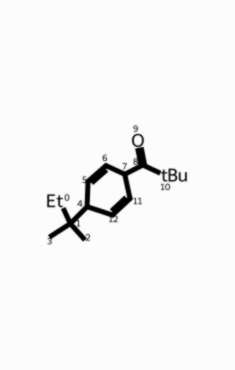 CCC(C)(C)C1C=CC(C(=O)C(C)(C)C)C=C1